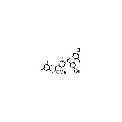 COC(=O)[C@H](Cc1c(C)cc(C)cc1C)N1CCN(C(=O)[C@@H]2CN(C(C)(C)C)C[C@H]2c2ccc(Cl)cc2F)[C@@H](C)C1